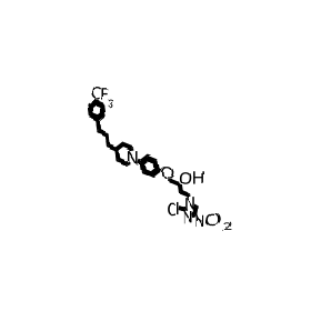 O=[N+]([O-])c1cn(CCC(O)COc2ccc(N3CCC(CCCc4ccc(C(F)(F)F)cc4)CC3)cc2)c(Cl)n1